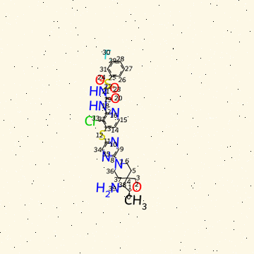 C[C@@H]1OCC2(CCN(c3cnc(Sc4ccnc(NC(=O)NS(=O)(=O)c5cccc(F)c5)c4Cl)cn3)CC2)[C@@H]1N